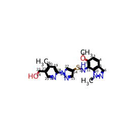 COc1ccc2cnn(C)c2c1NSc1cnn(-c2cc(C)c(CO)cn2)c1